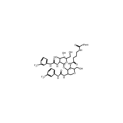 CCCCCC(=O)NCCCC(=O)N[C@H]1C(CO)OCC(NC(=O)Nc2cccc(C(F)(F)F)c2)C1O[C@@H]1OC(CO)[C@@H](O)C(O)C1NC(=O)Nc1cccc(C(F)(F)F)c1